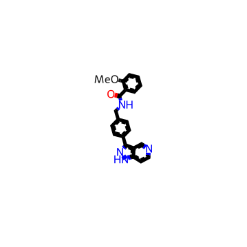 COc1ccccc1C(=O)NCc1ccc(-c2n[nH]c3ccncc23)cc1